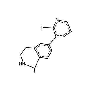 CC1NCCc2cc(-c3cccnc3F)ccc21